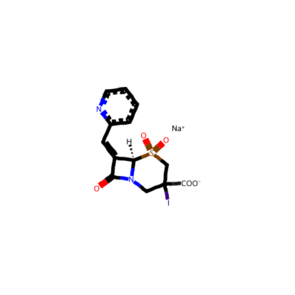 O=C1C(=Cc2ccccn2)[C@@H]2N1CC(I)(C(=O)[O-])CS2(=O)=O.[Na+]